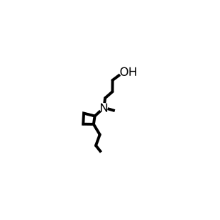 CCCC1CCC1N(C)CCCO